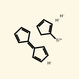 C1=CC(=C2C=CC=C2)C=C1.[H-].[H-].[H-].[Ti+3][C]1=CC=CC1